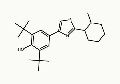 CN1CCCCC1c1nc(-c2cc(C(C)(C)C)c(O)c(C(C)(C)C)c2)cs1